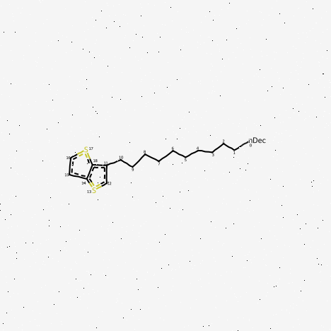 CCCCCCCCCCCCCCCCCCCCc1csc2ccsc12